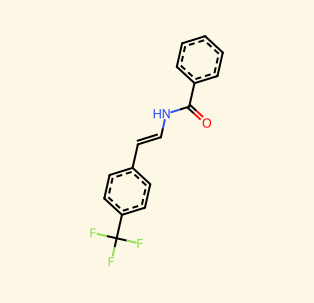 O=C(N/C=C/c1ccc(C(F)(F)F)cc1)c1ccccc1